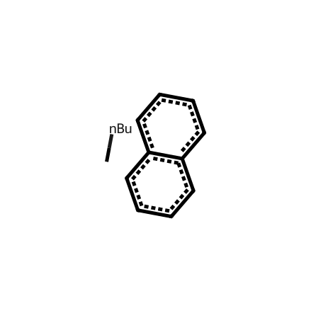 CCCCC.c1ccc2ccccc2c1